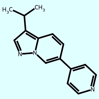 CC(C)c1cnn2cc(-c3ccncc3)ccc12